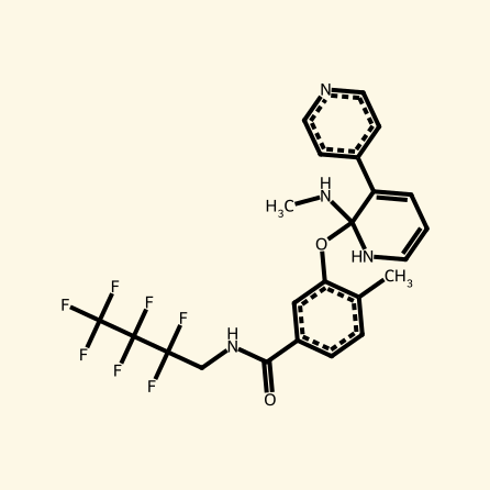 CNC1(Oc2cc(C(=O)NCC(F)(F)C(F)(F)C(F)(F)F)ccc2C)NC=CC=C1c1ccncc1